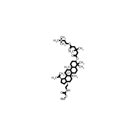 C=C(C)[C@@H]1CC[C@]2(CCNC(=O)OC(C)(C)C)CC[C@]3(C)C(CCC4[C@@]5(C)CC[C@H](OC(=O)CC(C)(C)CC(=O)OCC[Si](C)(C)C)C(C)(C)C5CC[C@]43C)C12